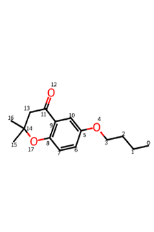 CCCCOc1ccc2c(c1)C(=O)CC(C)(C)O2